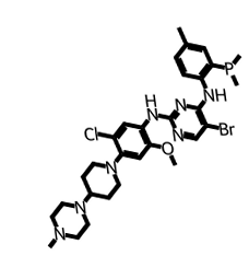 COc1cc(N2CCC(N3CCN(C)CC3)CC2)c(Cl)cc1Nc1ncc(Br)c(Nc2ccc(C)cc2P(C)C)n1